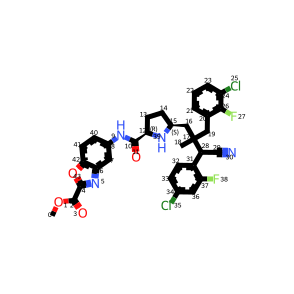 COC(=O)c1nc2cc(NC(=O)[C@H]3CC[C@@H](CC(C)(Cc4cccc(Cl)c4F)C(C#N)c4ccc(Cl)cc4F)N3)ccc2o1